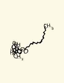 CCCCCCCC/C=C\CCCCCCCC(=O)Oc1ccc2c3c1O[C@H]1[C@@H](O)C=C[C@H]4[C@@H](C2)N(C)CC[C@@]341